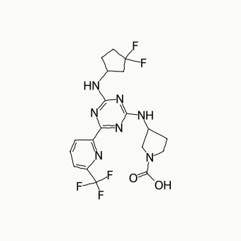 O=C(O)N1CCC(Nc2nc(NC3CCC(F)(F)C3)nc(-c3cccc(C(F)(F)F)n3)n2)C1